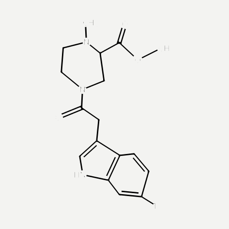 COC(=O)C1CN(C(=O)Cc2c[nH]c3cc(F)ccc23)CCN1C